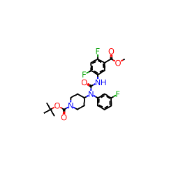 COC(=O)c1cc(NC(=O)N(c2cccc(F)c2)C2CCN(C(=O)OC(C)(C)C)CC2)c(F)cc1F